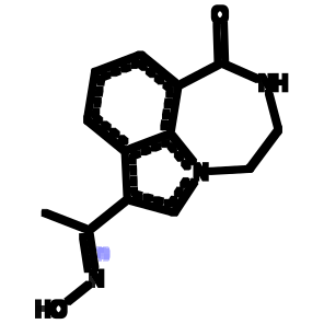 C/C(=N\O)c1cn2c3c(cccc13)C(=O)NCC2